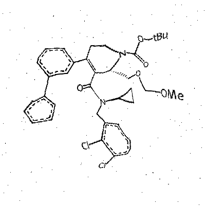 COCOC[C@@H]1C(C(=O)N(Cc2cccc(Cl)c2Cl)C2CC2)=C(c2cccc(-c3ccccc3)c2)CCN1C(=O)OC(C)(C)C